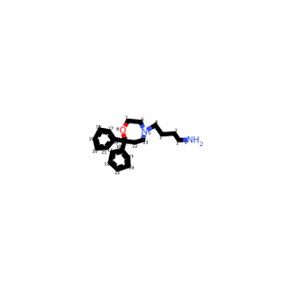 NCCCCN1CCOC(c2ccccc2)(c2ccccc2)CC1